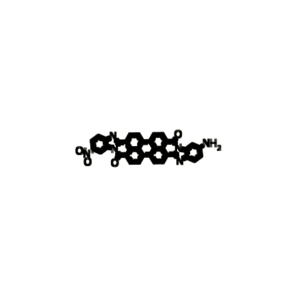 Nc1ccc2nc3c4ccc5c6ccc7c(=O)n8c9cc([N+](=O)[O-])ccc9nc8c8ccc(c9ccc(c(=O)n3c2c1)c4c59)c6c78